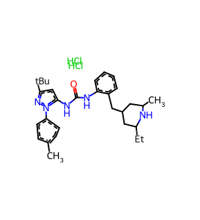 CCC1CC(Cc2ccccc2NC(=O)Nc2cc(C(C)(C)C)nn2-c2ccc(C)cc2)CC(C)N1.Cl.Cl